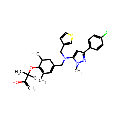 C=C(O)C(C)(C)OC1=C(C)C=C(CN(Cc2ccsc2)c2cc(-c3ccc(Cl)cc3)nn2C)CC1C